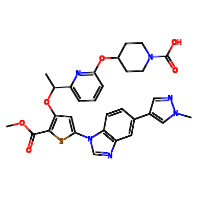 COC(=O)c1sc(-n2cnc3cc(-c4cnn(C)c4)ccc32)cc1OC(C)c1cccc(OC2CCN(C(=O)O)CC2)n1